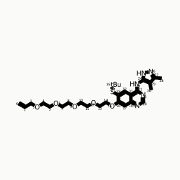 C=CCOCCOCCOCCOCCOc1cc2ncnc(Nc3[nH]nc(C)c3C)c2cc1SC(C)(C)C